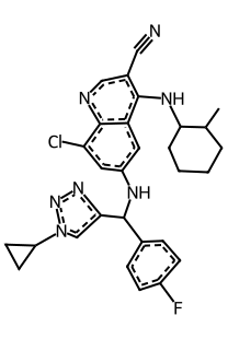 CC1CCCCC1Nc1c(C#N)cnc2c(Cl)cc(NC(c3ccc(F)cc3)c3cn(C4CC4)nn3)cc12